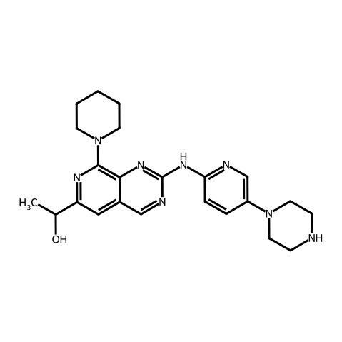 CC(O)c1cc2cnc(Nc3ccc(N4CCNCC4)cn3)nc2c(N2CCCCC2)n1